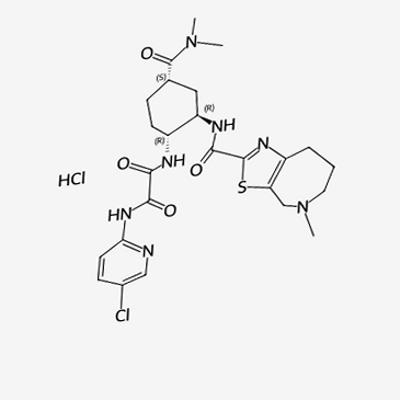 CN1CCCc2nc(C(=O)N[C@@H]3C[C@@H](C(=O)N(C)C)CC[C@H]3NC(=O)C(=O)Nc3ccc(Cl)cn3)sc2C1.Cl